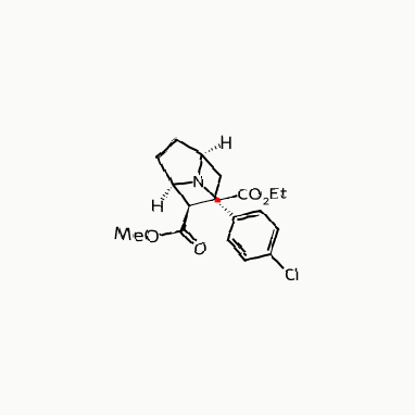 CCOC(=O)CN1[C@H]2CC[C@@H]1[C@H](C(=O)OC)[C@@H](c1ccc(Cl)cc1)C2